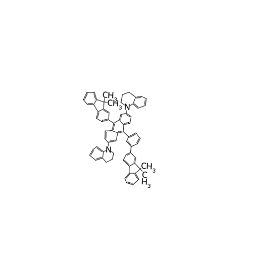 CC1(C)c2ccccc2-c2ccc(-c3cccc(-c4c5ccc(N6CCCc7ccccc76)cc5c(-c5ccc6c(c5)C(C)(C)c5ccccc5-6)c5ccc(N6CCCc7ccccc76)cc45)c3)cc21